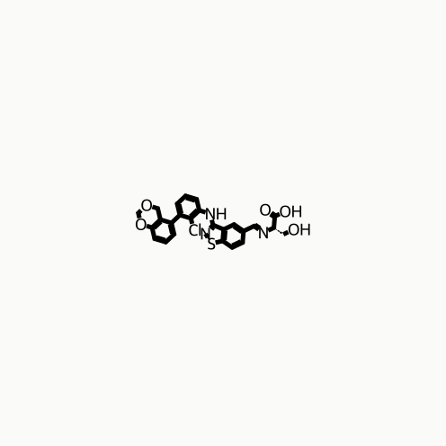 O=C(O)[C@H](CO)N=Cc1ccc2snc(Nc3cccc(-c4cccc5c4COCO5)c3Cl)c2c1